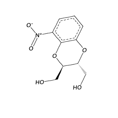 O=[N+]([O-])c1cccc2c1O[C@H](CO)[C@@H](CO)O2